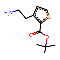 CC(C)(C)OC(=O)c1sccc1CCN